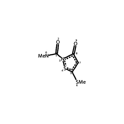 CNC(=O)n1sc(SC)cc1=O